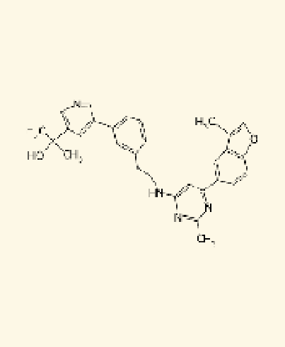 Cc1nc(NCCc2cccc(-c3cncc(C(C)(C)O)c3)c2)cc(-c2ccc3occ(C)c3c2)n1